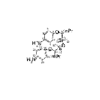 CCCC(Oc1ccc(N)cc1)[Si](C)(C)O[Si](C)(C)C(CCC)Oc1ccc(N)cc1